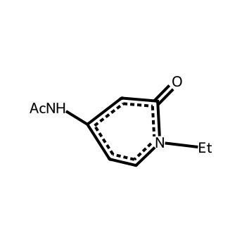 CCn1ccc(NC(C)=O)cc1=O